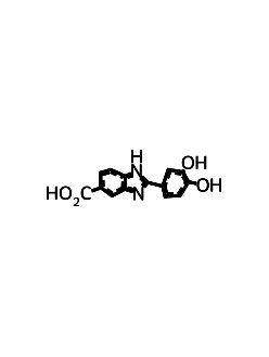 O=C(O)c1ccc2[nH]c(-c3ccc(O)c(O)c3)nc2c1